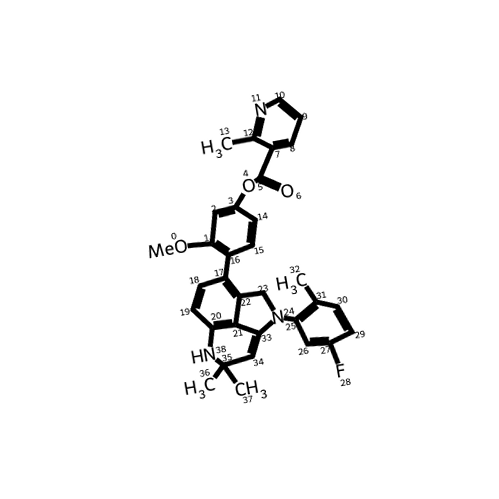 COc1cc(OC(=O)c2cccnc2C)ccc1-c1ccc2c3c1CN(c1cc(F)ccc1C)C3=CC(C)(C)N2